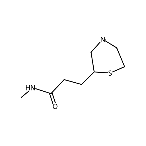 CNC(=O)CCC1C[N]CCS1